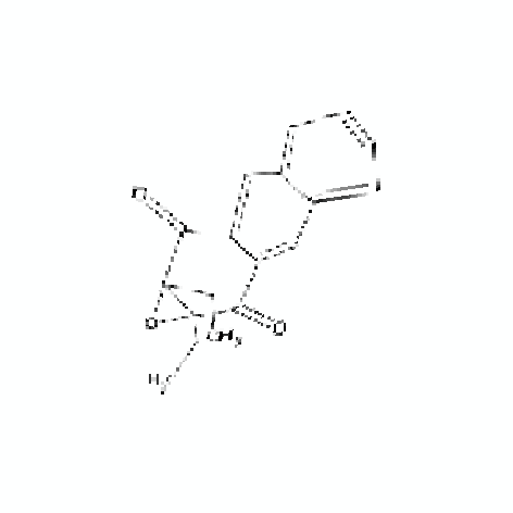 CCC12OC1(CC)C(=O)c1cc3ccccc3cc1C2=O